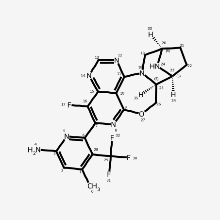 Cc1cc(N)nc(-c2nc3c4c(ncnc4c2F)N2C[C@H]4CC[C@H](N4)[C@H]2CO3)c1C(F)(F)F